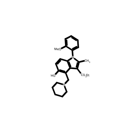 CCOC(=O)c1c(C)n(-c2ccccc2OC)c2ccc(O)c(CN3CCCCC3)c12